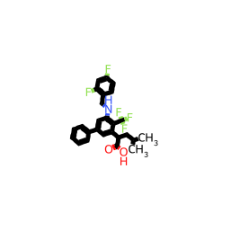 CC(C)CC(C(=O)O)c1cc(-c2ccccc2)cc(NCc2ccc(F)cc2F)c1C(F)(F)F